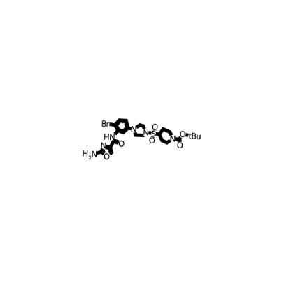 CC(C)(C)OC(=O)N1CCC(S(=O)(=O)N2CCN(c3ccc(Br)c(NC(=O)c4coc(N)n4)c3)CC2)CC1